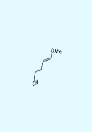 COC=CCCO